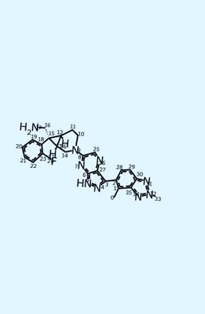 Cc1c(-c2n[nH]c3nc(N4CC[C@@H]5[C@H](C4)[C@@]5(CN)c4ccccc4F)cnc23)ccc2nn(C)nc12